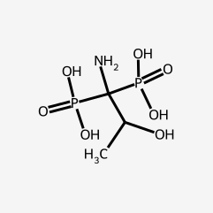 CC(O)C(N)(P(=O)(O)O)P(=O)(O)O